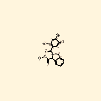 COC(=O)C1c2ccccc2CN1C(=O)c1cc(Cl)c(O)cc1O